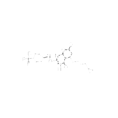 O=c1cc(CCCCC2CC2)c2c(=O)[nH]c(ON=C3CCC(C(F)(F)F)CC3)nc2o1